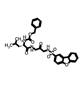 CC(C)C[C@H](NC(=O)OCc1ccccc1)C(=O)NCC(=O)CNS(=O)(=O)c1ccc2oc3ccccc3c2c1